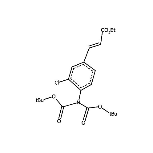 CCOC(=O)C=Cc1ccc(N(C(=O)OC(C)(C)C)C(=O)OC(C)(C)C)c(Cl)c1